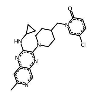 Cc1cc2nc(NC3CC3)c(N3CCC(Cn4cc(Cl)ccc4=O)CC3)nc2cn1